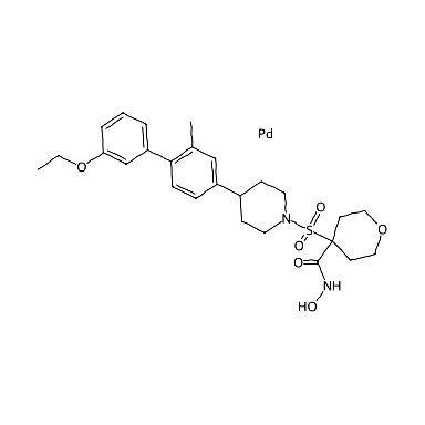 CCOc1cccc(-c2ccc(C3CCN(S(=O)(=O)C4(C(=O)NO)CCOCC4)CC3)cc2C)c1.[Pd]